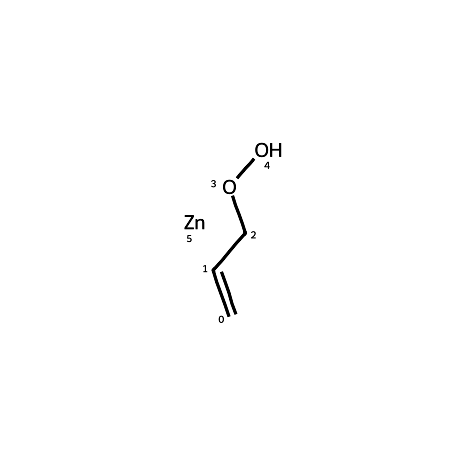 C=CCOO.[Zn]